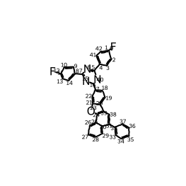 Fc1ccc(-c2nc(-c3ccc(F)cc3)nc(-c3ccc4c(c3)oc3c5ccccc5c(-c5ccccc5)cc43)n2)cc1